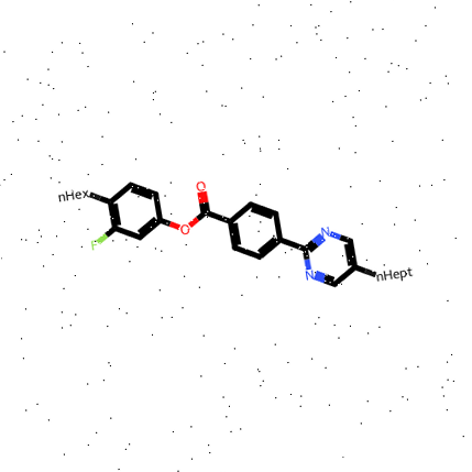 CCCCCCCc1cnc(-c2ccc(C(=O)Oc3ccc(CCCCCC)c(F)c3)cc2)nc1